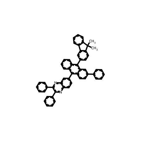 CC1(C)c2ccccc2-c2cc(-c3c4ccccc4c(-c4ccc5nc(-c6ccccc6)c(-c6ccccc6)nc5c4)c4ccc(-c5ccccc5)cc34)ccc21